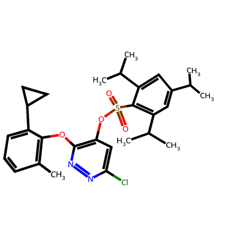 Cc1cccc(C2CC2)c1Oc1nnc(Cl)cc1OS(=O)(=O)c1c(C(C)C)cc(C(C)C)cc1C(C)C